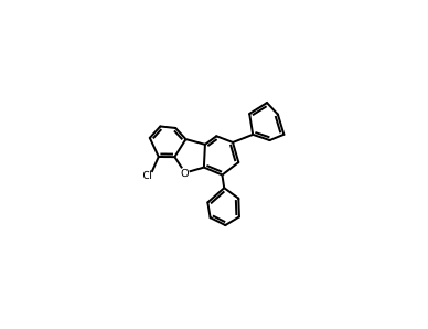 Clc1cccc2c1oc1c(-c3ccccc3)cc(-c3ccccc3)cc12